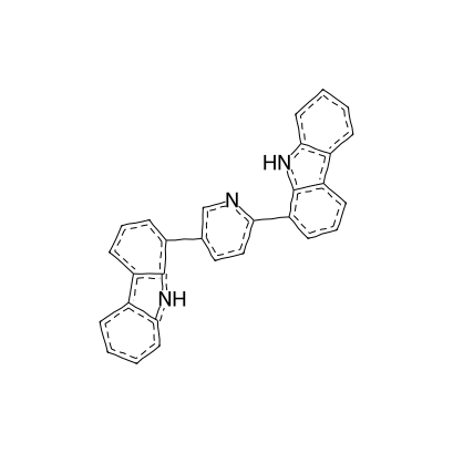 c1ccc2c(c1)[nH]c1c(-c3ccc(-c4cccc5c4[nH]c4ccccc45)nc3)cccc12